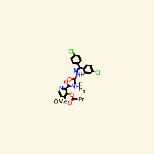 COc1ccnc(C(=O)N[C@@H](C)C(=O)NN=C(c2ccc(Cl)cc2)c2ccc(Cl)cc2)c1OC(=O)C(C)C